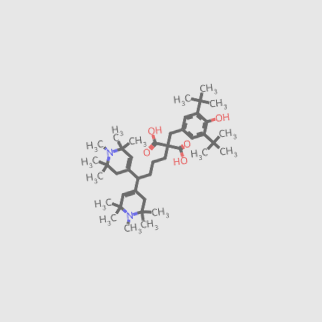 CN1C(C)(C)C=C(C(CCCC(Cc2cc(C(C)(C)C)c(O)c(C(C)(C)C)c2)(C(=O)O)C(=O)O)C2=CC(C)(C)N(C)C(C)(C)C2)CC1(C)C